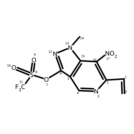 C=Cc1ncc2c(OS(=O)(=O)C(F)(F)F)nn(C)c2c1[N+](=O)[O-]